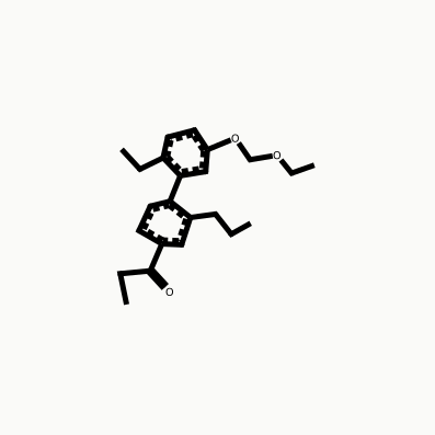 CCCc1cc(C(=O)CC)ccc1-c1cc(OCOCC)ccc1CC